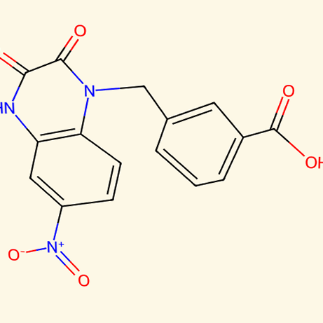 O=C(O)c1cccc(Cn2c(=O)c(=O)[nH]c3cc([N+](=O)[O-])ccc32)c1